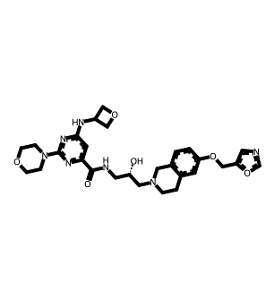 O=C(NC[C@H](O)CN1CCc2cc(OCc3cnco3)ccc2C1)c1cc(NC2COC2)nc(N2CCOCC2)n1